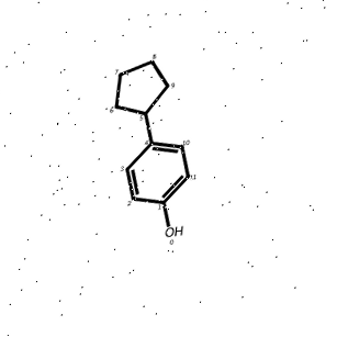 Oc1ccc(C2[CH]CCC2)cc1